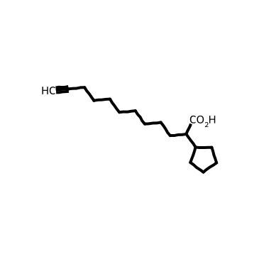 C#CCCCCCCCCC(C(=O)O)C1CCCC1